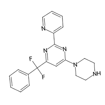 FC(F)(c1ccccc1)c1cc(N2CCNCC2)nc(-c2ccccn2)n1